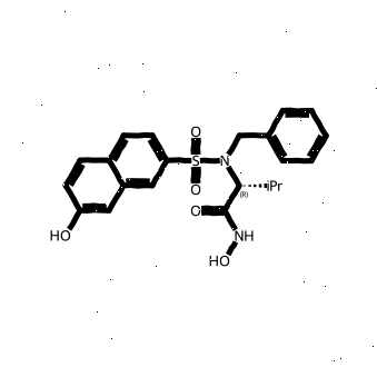 CC(C)[C@H](C(=O)NO)N(Cc1ccccc1)S(=O)(=O)c1ccc2ccc(O)cc2c1